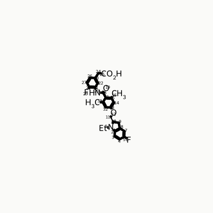 CCN1c2ccc(F)cc2C[C@@H]1COc1cc(C)c(C(=O)Nc2cc(CC(=O)O)ccc2F)c(C)c1